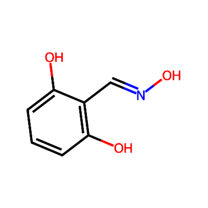 ON=Cc1c(O)cccc1O